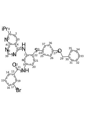 CC(C)c1ccc2c(Nc3cc(NC(=O)c4cccc(Br)c4)ccc3Sc3ccc(OCc4ccccc4)cc3)ncnc2n1